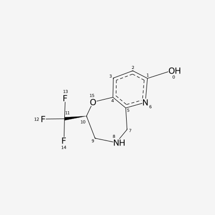 Oc1ccc2c(n1)CNC[C@@H](C(F)(F)F)O2